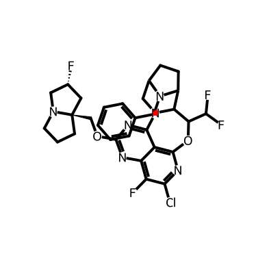 Fc1c(Cl)nc2c3c(nc(OC[C@@]45CCCN4C[C@H](F)C5)nc13)N1CC3CCC(C1C(C(F)F)O2)N3Cc1ccccc1